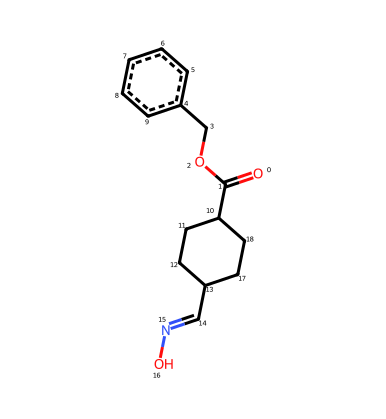 O=C(OCc1ccccc1)C1CCC(C=NO)CC1